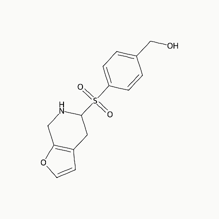 O=S(=O)(c1ccc(CO)cc1)C1Cc2ccoc2CN1